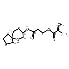 C=C(C)C(=O)OCCC(=O)OC1COC2(CCCC2)OC1